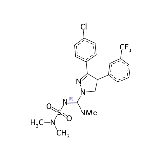 CN/C(=N\S(=O)(=O)N(C)C)N1CC(c2cccc(C(F)(F)F)c2)C(c2ccc(Cl)cc2)=N1